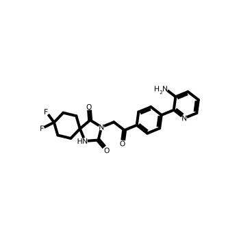 Nc1cccnc1-c1ccc(C(=O)CN2C(=O)NC3(CCC(F)(F)CC3)C2=O)cc1